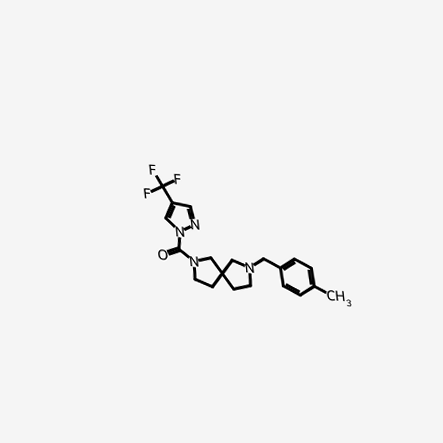 Cc1ccc(CN2CCC3(CCN(C(=O)n4cc(C(F)(F)F)cn4)C3)C2)cc1